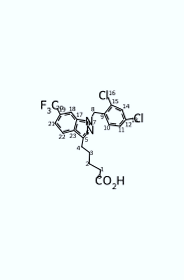 O=C(O)CCCCc1nn(Cc2ccc(Cl)cc2Cl)c2cc(C(F)(F)F)ccc12